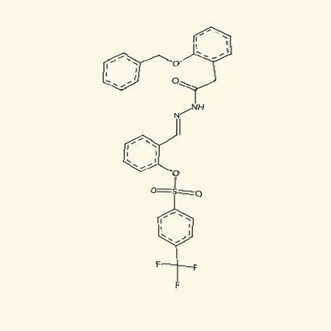 O=C(Cc1ccccc1OCc1ccccc1)NN=Cc1ccccc1OS(=O)(=O)c1ccc(C(F)(F)F)cc1